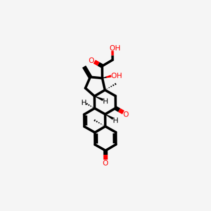 C=C1C[C@H]2[C@@H]3C=CC4=CC(=O)C=C[C@]4(C)[C@H]3C(=O)C[C@]2(C)[C@@]1(O)C(=O)CO